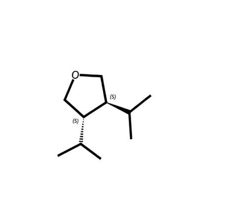 CC(C)[C@@H]1COC[C@H]1C(C)C